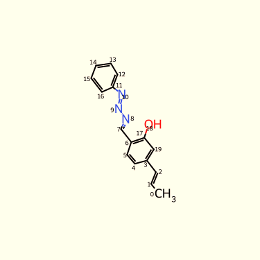 CC=Cc1ccc(C=NN=Nc2ccccc2)c(O)c1